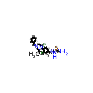 CC(C)C1CN(Cc2ccccc2)CCN1c1c(F)cc(/C=N/NC(N)=S)cc1F